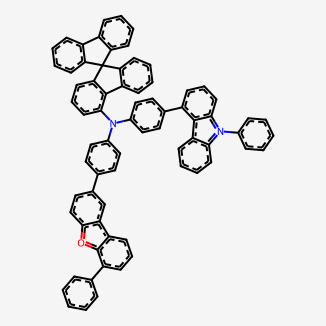 c1ccc(-c2cccc3c2oc2ccc(-c4ccc(N(c5ccc(-c6cccc7c6c6ccccc6n7-c6ccccc6)cc5)c5cccc6c5-c5ccccc5C65c6ccccc6-c6ccccc65)cc4)cc23)cc1